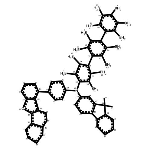 Bc1c(B)c(B)c(-c2c(B)c(B)c(-c3c(B)c(B)c(N(c4ccc(-c5cccc6oc7c8ccccc8ccc7c56)cc4)c4ccc5c(c4)C(C)(C)c4ccccc4-5)c(B)c3B)c(B)c2B)c(B)c1B